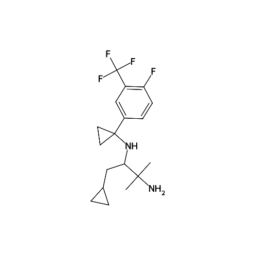 CC(C)(N)C(CC1CC1)NC1(c2ccc(F)c(C(F)(F)F)c2)CC1